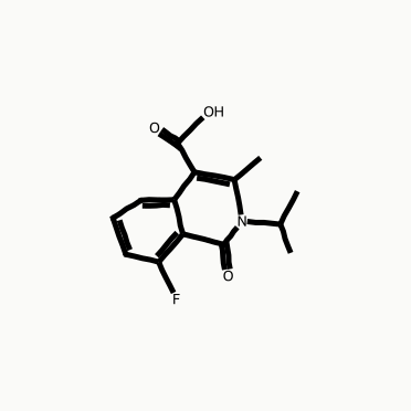 Cc1c(C(=O)O)c2cccc(F)c2c(=O)n1C(C)C